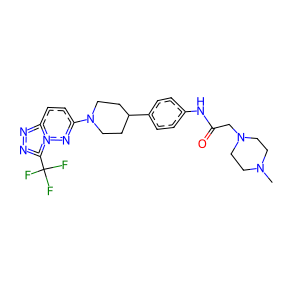 CN1CCN(CC(=O)Nc2ccc(C3CCN(c4ccc5nnc(C(F)(F)F)n5n4)CC3)cc2)CC1